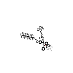 CCC(C)CC(CC(CCOC(=O)OCCCOC(C)=O)(c1ccccc1)c1ccc(OCCCC(F)(F)C(F)(F)C(F)(F)C(F)(F)C(F)(F)C(F)(F)C(F)(F)C(F)(F)F)cc1)c1ccccc1